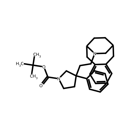 CC(C)(C)OC(=O)N1CCC(CCN2CC3CCC2Cc2ccccc2C3)(c2ccccc2)C1